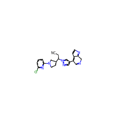 N#CCC(C1CCN(c2cccc(Cl)n2)C1)n1cc(C2=C3C=CN=C3CN=C2)cn1